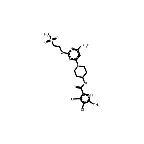 Cc1[nH]c(C(=O)NC2CCN(c3cc(C(=O)O)nc(OCCS(C)(=O)=O)n3)CC2)c(Cl)c1Cl